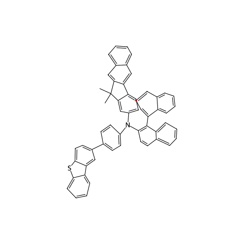 CC1(C)c2cc(N(c3ccc(-c4ccc5sc6ccccc6c5c4)cc3)c3ccc4ccccc4c3-c3cccc4ccccc34)ccc2-c2cc3ccccc3cc21